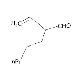 C=CC(C=O)CCCCC